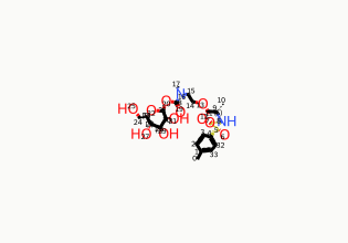 Cc1ccc(S(=O)(=O)N[C@@H](C)C(=O)OCCN(C)C(=O)OC2O[C@H](CO)[C@@H](O)[C@H](O)[C@H]2O)cc1